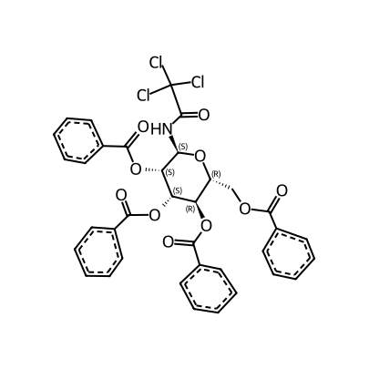 O=C(OC[C@H]1O[C@H](NC(=O)C(Cl)(Cl)Cl)[C@@H](OC(=O)c2ccccc2)[C@@H](OC(=O)c2ccccc2)[C@@H]1OC(=O)c1ccccc1)c1ccccc1